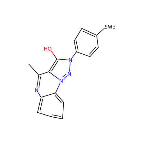 CSc1ccc(-n2n[n+]3c(c(C)nc4ccccc43)c2O)cc1